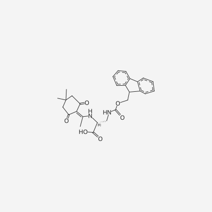 CC(N[C@H](CNC(=O)OCC1c2ccccc2-c2ccccc21)C(=O)O)=C1C(=O)CC(C)(C)CC1=O